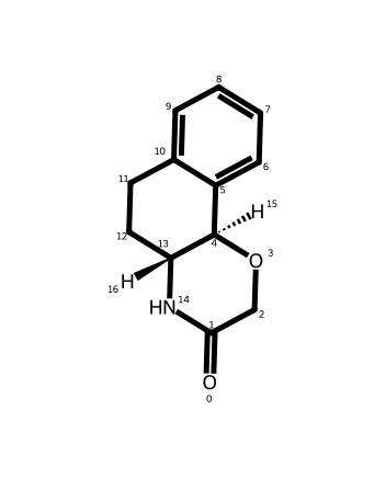 O=C1CO[C@@H]2c3ccccc3CC[C@H]2N1